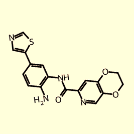 Nc1ccc(-c2cncs2)cc1NC(=O)c1cc2c(cn1)OCCO2